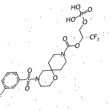 O=C(O[C@H](COP(=O)(O)O)C(F)(F)F)N1CCC2(CC1)CN(S(=O)(=O)c1cccc(F)c1)CCO2